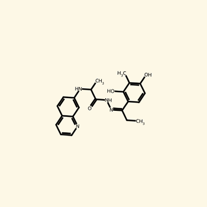 CCC(=NNC(=O)C(C)Nc1ccc2cccnc2c1)c1ccc(O)c(C)c1O